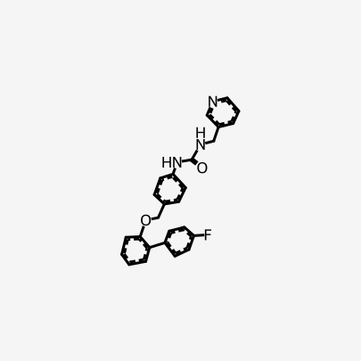 O=C(NCc1cccnc1)Nc1ccc(COc2ccccc2-c2ccc(F)cc2)cc1